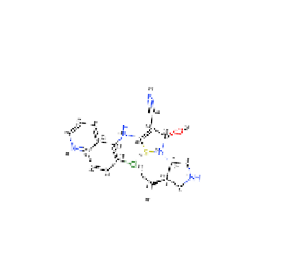 CC(C)[C@@H]1CNC[C@H]1n1sc(Nc2c(Cl)ccc3ncccc23)c(C#N)c1=O